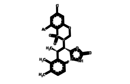 CC(=O)c1cc(Cl)cc2c1S(=O)(=O)N([C@H](c1n[nH]c(=O)o1)[C@@H](C)c1c(F)ccc(C)c1C)CO2